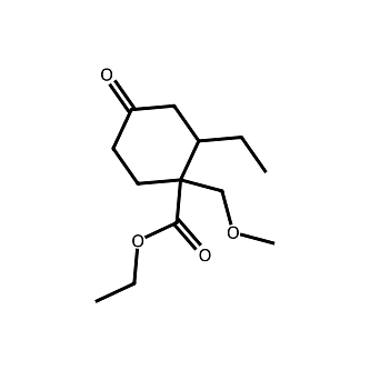 CCOC(=O)C1(COC)CCC(=O)CC1CC